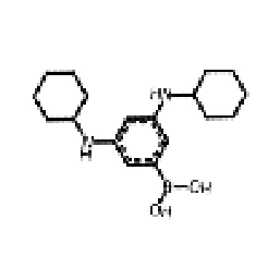 OB(O)c1cc(NC2CCCCC2)cc(NC2CCCCC2)c1